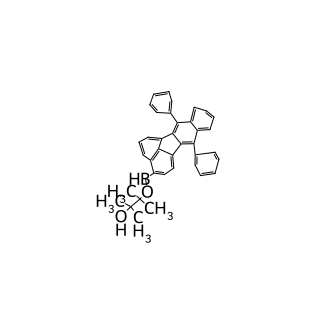 CC(C)(O)C(C)(C)OBc1ccc2c3c(cccc13)-c1c-2c(-c2ccccc2)c2ccccc2c1-c1ccccc1